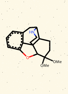 COC1(OC)CCC2C3Cc4cccc5c4C2(CCN3)C1O5